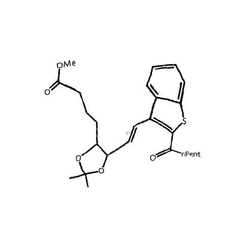 CCCCCC(=O)c1sc2ccccc2c1/C=C/C1OC(C)(C)OC1CCCC(=O)OC